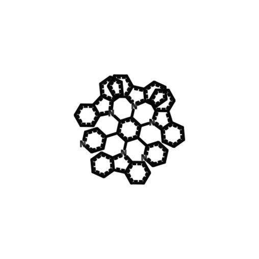 c1ccc(-c2c(-n3c4ccccc4c4ccccc43)c(-c3ccncc3)c(-n3c4ccccc4c4ccccc43)c(-n3c4ccccc4c4ccccc43)c2-n2c3ccccc3c3ccccc32)nc1